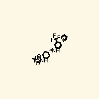 CC(C)(C)S(=O)(=O)N[C@H]1CC[C@H](CNc2ccc(-n3cccc3)c(C(F)(F)F)c2)CC1